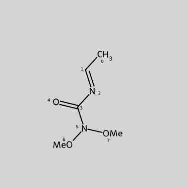 CC=NC(=O)N(OC)OC